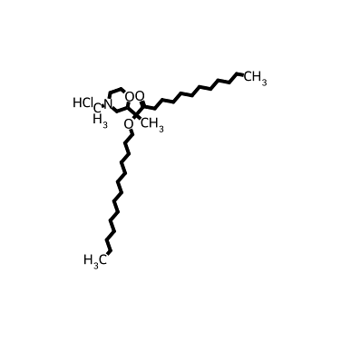 CCCCCCCCCCCCCCOC(C)(C(=O)CCCCCCCCCCC)C1CN(C)CCO1.Cl